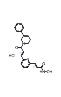 Cl.O=C(/C=C/c1cccc(/C=C/C(=O)N2CCC=C(c3ccccc3)C2)n1)NO